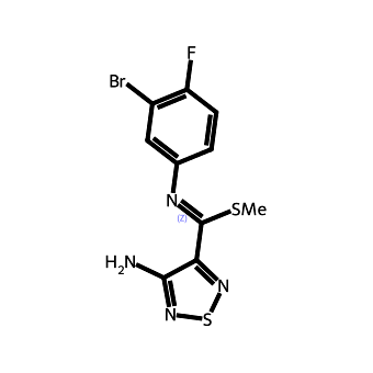 CS/C(=N\c1ccc(F)c(Br)c1)c1nsnc1N